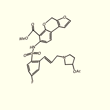 COC(=O)c1c(NS(=O)(=O)c2ccc(F)cc2C=CCN2CCC(OC(C)=O)C2)ccc2c1OCc1occc1-2